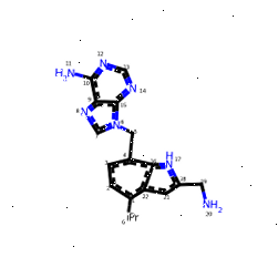 CC(C)c1ccc(Cn2cnc3c(N)ncnc32)c2[nH]c(CN)cc12